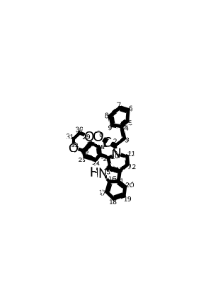 O=C=C(Cc1ccccc1)N1CCc2c([nH]c3ccccc23)C1c1ccc2c(c1)OCCO2